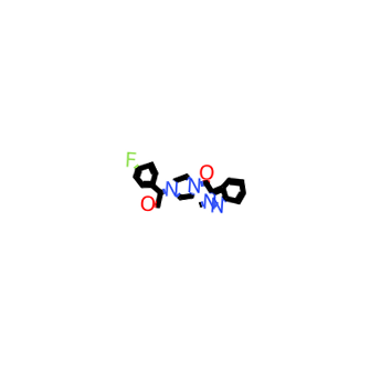 Cn1nc2ccccc2c1C(=O)N1CCN(C(C=O)c2ccc(F)cc2)CC1